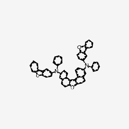 c1ccc(N(c2ccc3c(ccc4oc5ccc6cc(N(c7ccccc7)c7ccc8oc9ccccc9c8c7)ccc6c5c43)c2)c2ccc3oc4ccccc4c3c2)cc1